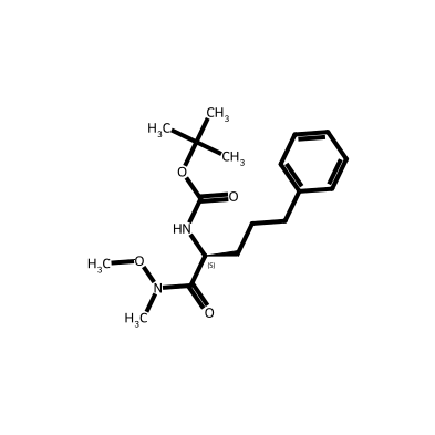 CON(C)C(=O)[C@H](CCCc1ccccc1)NC(=O)OC(C)(C)C